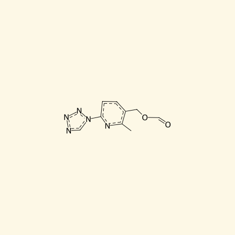 Cc1nc(-n2cnnn2)ccc1COC=O